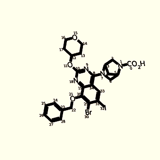 O=C(O)N1CC2CC1CN2c1nc(OC2CCOCC2)nc2c(OCc3ccccc3)c(Br)c(I)cc12